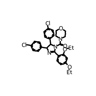 CCOc1ccc(C2=NC(c3ccc(Cl)cc3)C(c3ccc(Cl)cc3)N2C(=O)N2CCOCC2)c(OCC)c1